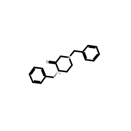 O=C1CN(Cc2ccccc2)CC[C@@H]1Cc1ccccc1